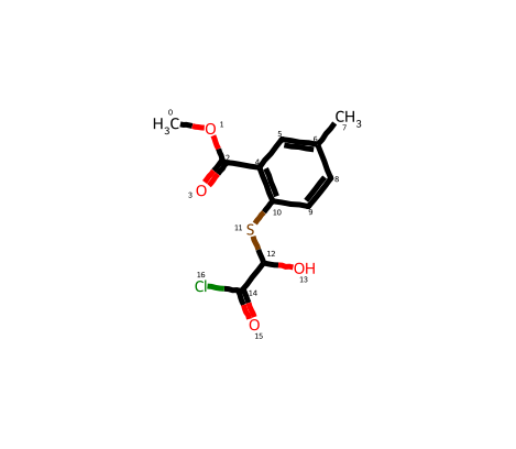 COC(=O)c1cc(C)ccc1SC(O)C(=O)Cl